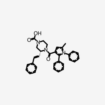 Cc1cc(C(=O)N2CCN(C(=O)O)C[C@H]2C=Cc2ccccc2)c(-c2ccccc2)n1-c1ccccc1